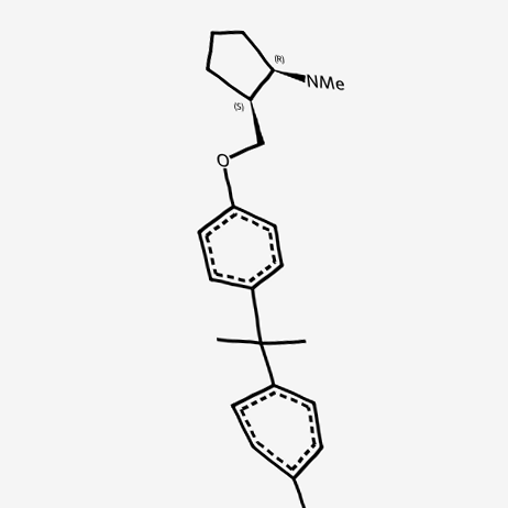 CN[C@@H]1CCC[C@@H]1COc1ccc(C(C)(C)c2ccc(F)cc2)cc1